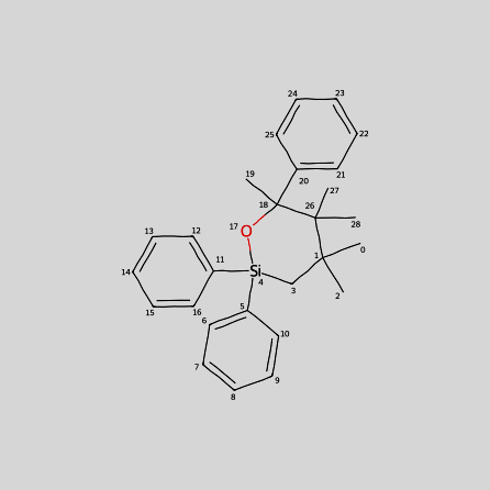 CC1(C)C[Si](c2ccccc2)(c2ccccc2)OC(C)(c2ccccc2)C1(C)C